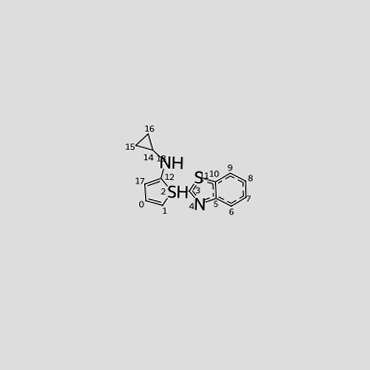 C1=C[SH](c2nc3ccccc3s2)C(NC2CC2)=C1